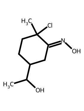 CC(O)C1CCC(C)(Cl)C(=NO)C1